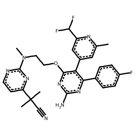 Cc1cc(-c2c(OCCN(C)c3nccc(C(C)(C)C#N)n3)nc(N)nc2-c2ccc(F)cc2)cc(C(F)F)n1